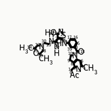 CC(=O)Cc1nc(C)cc2c1CCN2C(=O)c1cccc(Nc2snc(O)c2C(=N)NCCN2CC(C)OC(C)C2)c1